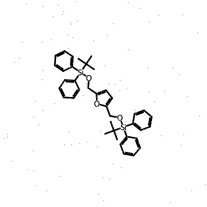 CC(C)(C)[Si](OCc1ccc(CO[Si](c2ccccc2)(c2ccccc2)C(C)(C)C)o1)(c1ccccc1)c1ccccc1